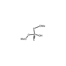 COOP(O)(=S)SOC